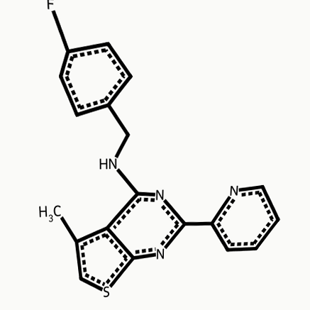 Cc1csc2nc(-c3ccccn3)nc(NCc3ccc(F)cc3)c12